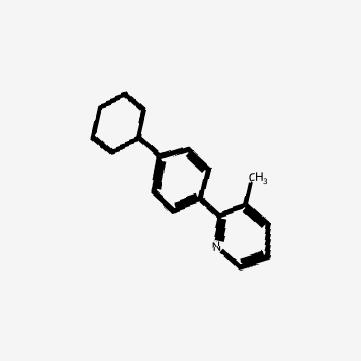 Cc1cccnc1-c1ccc(C2CCCCC2)cc1